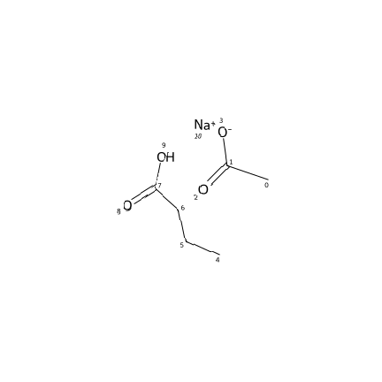 CC(=O)[O-].CCCC(=O)O.[Na+]